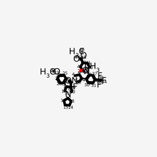 COC[C@H]1CN(C(=O)[C@]2(F)CN(C3CCCC3)C[C@H]2c2ccc(OC)cc2)C[C@@H]1c1ccc(C(F)(F)F)cc1N1CCC(C(=O)OC)CC1